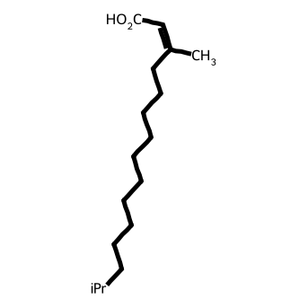 CC(=CC(=O)O)CCCCCCCCCCC(C)C